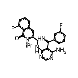 CC(C)n1c(CNc2ncnc(N)c2C(=N)c2cccc(F)c2)cc2cccc(F)c2c1=O